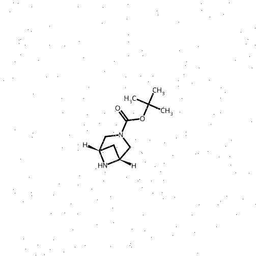 CC(C)(C)OC(=O)N1C[C@H]2C[C@@H](C1)N2